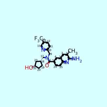 Cc1cc2cc(C(=O)N(Cc3ccc(C(F)(F)F)cn3)C[C@@H]3CC[C@H](O)C3)ccc2nc1N